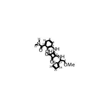 COCC(Nc1c(Nc2cccc(C(=O)N(C)C)c2O)c(=O)c1=O)c1cccs1